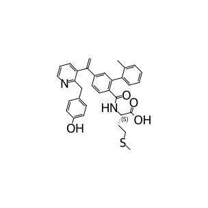 C=C(c1ccc(C(=O)N[C@@H](CCSC)C(=O)O)c(-c2ccccc2C)c1)c1cccnc1Cc1ccc(O)cc1